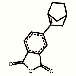 O=C1OC(=O)c2cc(C3=C4CCC(C4)C3)ccc21